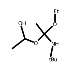 CCOC(C)(NC(C)(C)C)OC(C)O